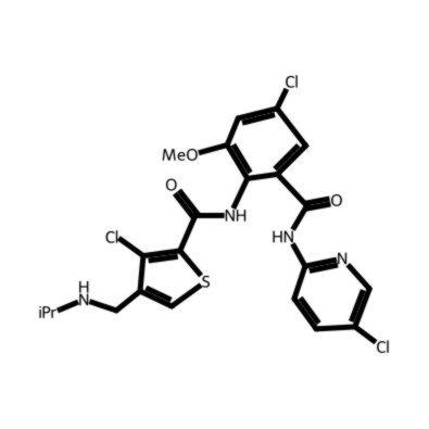 COc1cc(Cl)cc(C(=O)Nc2ccc(Cl)cn2)c1NC(=O)c1scc(CNC(C)C)c1Cl